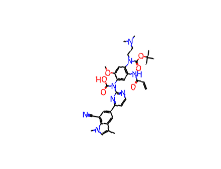 C=CC(=O)Nc1cc(N(C(=O)O)c2nccc(-c3cc(C#N)c4c(c3)c(C)cn4C)n2)c(OC)cc1N(CCN(C)C)C(=O)OC(C)(C)C